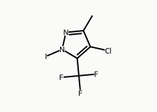 Cc1nn(I)c(C(F)(F)F)c1Cl